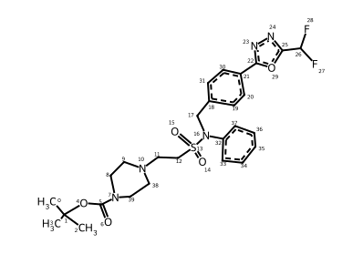 CC(C)(C)OC(=O)N1CCN(CCS(=O)(=O)N(Cc2ccc(-c3nnc(C(F)F)o3)cc2)c2ccccc2)CC1